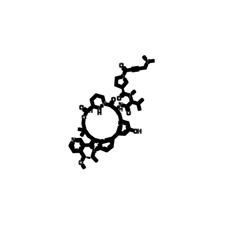 CCn1c(-c2cnccc2[C@H](C)OC)c2c3cc(ccc31)-c1cc(O)cc(c1)C[C@H](NC(=O)C(C(C)C)N(C)C(=O)[C@H]1CCN(C(=O)C#CCN(C)C)C1)C(=O)N1CCC[C@H](N1)C(=O)OCC(C)(C)C2